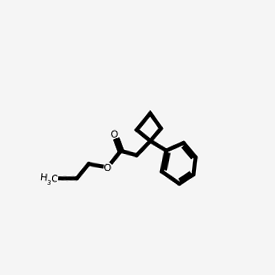 CCCOC(=O)CC1(c2ccccc2)CCC1